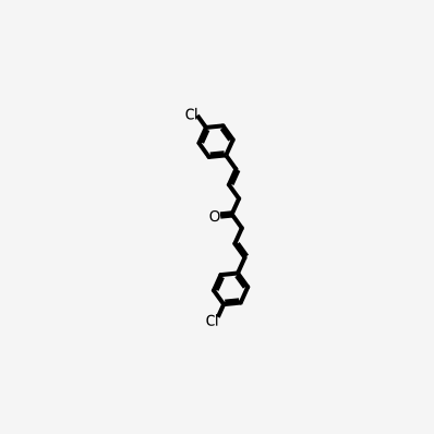 O=C(CC=Cc1ccc(Cl)cc1)CC=Cc1ccc(Cl)cc1